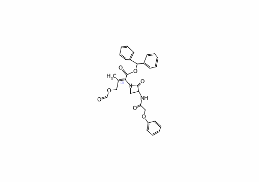 C/C(COC=O)=C(\C(=O)OC(c1ccccc1)c1ccccc1)N1CC(NC(=O)COc2ccccc2)C1=O